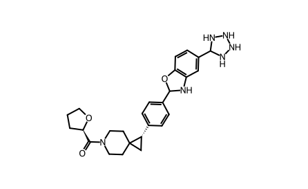 O=C([C@H]1CCCO1)N1CCC2(CC1)C[C@H]2c1ccc(C2Nc3cc(C4NNNN4)ccc3O2)cc1